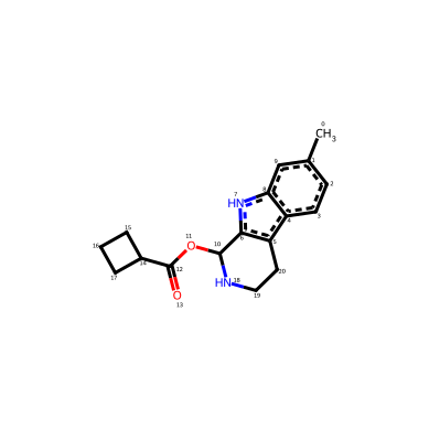 Cc1ccc2c3c([nH]c2c1)C(OC(=O)C1CCC1)NCC3